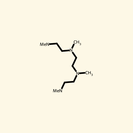 CNCCN(C)CCN(C)CCNC